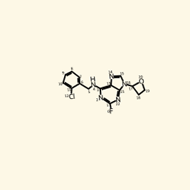 Fc1nc(NCc2ccccc2Cl)c2ncn(C3CCO3)c2n1